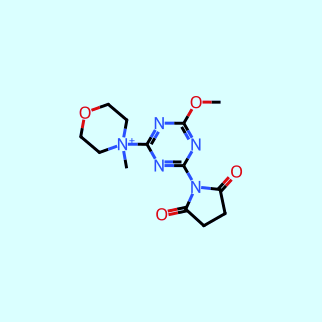 COc1nc(N2C(=O)CCC2=O)nc([N+]2(C)CCOCC2)n1